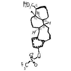 C[C@]12CC[C@@H]3c4ccc(OS(=O)(=O)C(F)(F)F)cc4CC[C@H]3[C@@H]1CC[C@@H]2C(=O)O